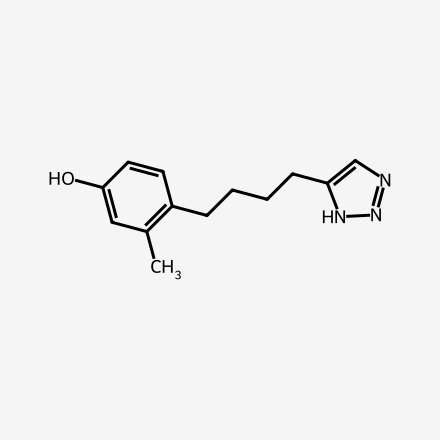 Cc1cc(O)ccc1CCCCc1cnn[nH]1